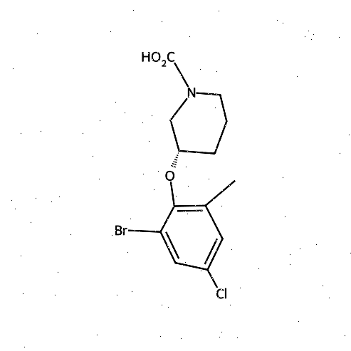 Cc1cc(Cl)cc(Br)c1O[C@H]1CCCN(C(=O)O)C1